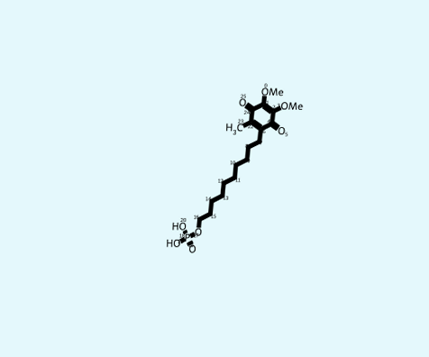 COC1=C(OC)C(=O)C(CCCCCCCCCCOP(=O)(O)O)=C(C)C1=O